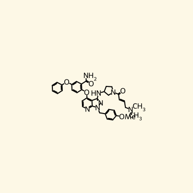 COc1ccc(Cn2nc(NC3CCN(C(=O)/C=C/CN(C)C)C3)c3c(Oc4ccc(Oc5ccccc5)cc4C(N)=O)ccnc32)cc1